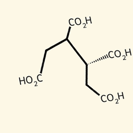 O=C(O)CC(C(=O)O)[C@@H](CC(=O)O)C(=O)O